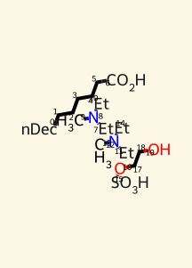 CCCCCCCCCCCCCCCC(=O)O.CCN(C)CC.CCN(C)CC.O=S(=O)(O)OCCO